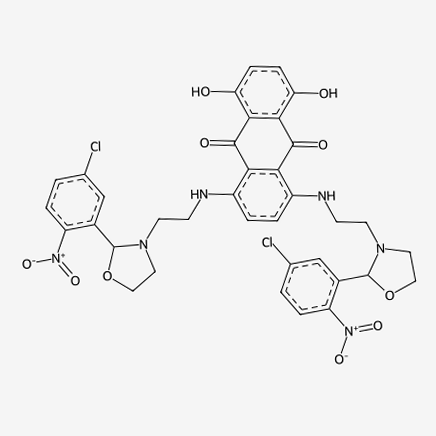 O=C1c2c(O)ccc(O)c2C(=O)c2c(NCCN3CCOC3c3cc(Cl)ccc3[N+](=O)[O-])ccc(NCCN3CCOC3c3cc(Cl)ccc3[N+](=O)[O-])c21